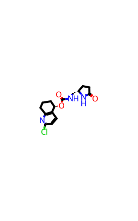 O=C1CC[C@@H](CNC(=O)O[C@H]2CCCc3nc(Cl)ccc32)N1